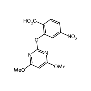 COc1cc(OC)nc(Oc2cc([N+](=O)[O-])ccc2C(=O)O)n1